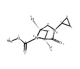 CC(C)(C)OC(=O)N1[C@@H]2C[C@H]1C(=O)N(C1CC1)C2